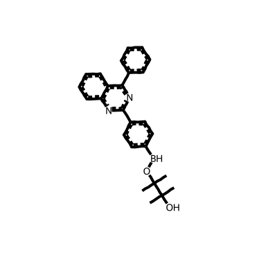 CC(C)(O)C(C)(C)OBc1ccc(-c2nc(-c3ccccc3)c3ccccc3n2)cc1